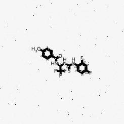 Cc1ccc(C(=O)NC(NC(=S)Nc2ccc(F)cc2F)C(F)(F)F)cc1